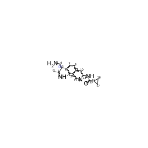 CC(=N)/C(=C\N)c1ccc2cc(NC(=O)C3CC3)ncc2c1